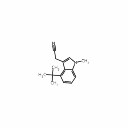 Cn1cc(CC#N)c2c(C(C)(C)C)cccc21